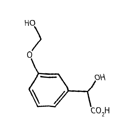 O=C(O)C(O)c1cccc(OCO)c1